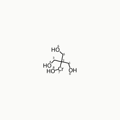 OC[C](CO)(CO)[Cr][OH]